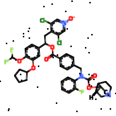 O=C(OC(Cc1c(Cl)c[n+]([O-])cc1Cl)c1ccc(OC(F)F)c(OC2CCCC2)c1)c1ccc(CN(C(=O)O[C@H]2CN3CCC2CC3)c2ccccc2F)cc1